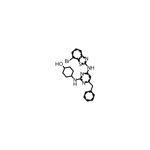 OC1CCC(Nc2nc(Cc3ccccc3)cc(Nc3nc4cccc(Br)c4s3)n2)CC1